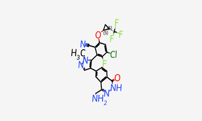 Cn1ncc(-c2ccc3c(=O)[nH]nc(CN)c3c2)c1-c1c(F)c(Cl)cc(O[C@H]2C[C@@H]2C(F)(F)F)c1C#N